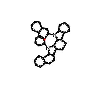 c1ccc(-n2c3c4ccccc4ccc3c3ccc4c5ccccc5n(-c5ccc6ccccc6c5)c4c32)cc1